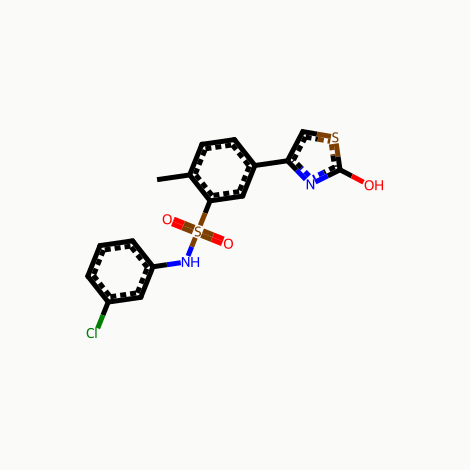 Cc1ccc(-c2csc(O)n2)cc1S(=O)(=O)Nc1cccc(Cl)c1